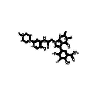 Cc1nc2c(c(-c3cc(C(N)=O)c(O)c(F)c3F)cn2CC(=O)Nc2cc(N3CCN(C)CC3)ncc2Cl)c(=O)n1C